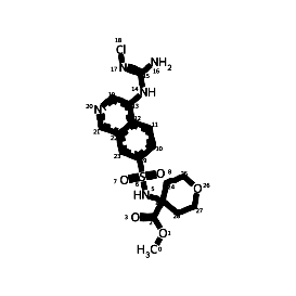 COC(=O)C1(NS(=O)(=O)c2ccc3c(NC(N)=NCl)cncc3c2)CCOCC1